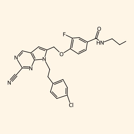 CCCNC(=O)c1ccc(OCc2cc3cnc(C#N)nc3n2CCc2ccc(Cl)cc2)c(F)c1